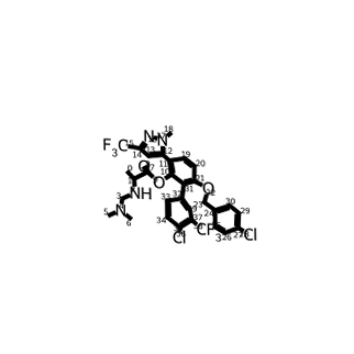 CC(NCN(C)C)C(=O)Oc1c(-c2cc(C(F)(F)F)nn2C)ccc(OCc2ccc(Cl)cc2)c1-c1ccc(Cl)c(C(F)(F)F)c1